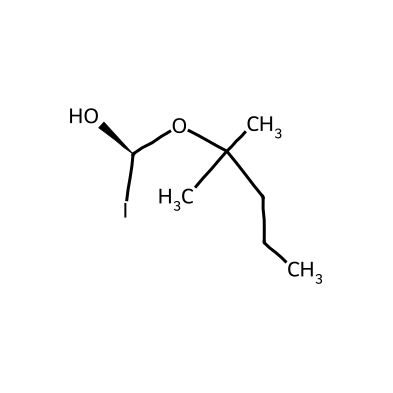 CCCC(C)(C)O[C@H](O)I